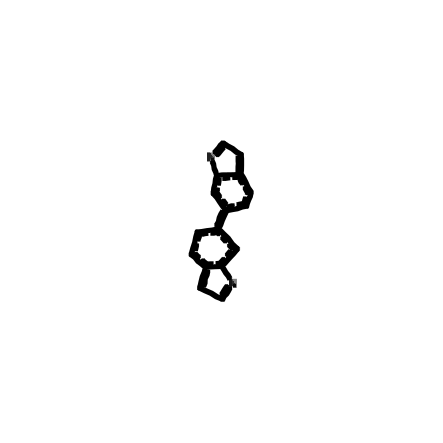 C1=Nc2cc(=c3ccc4c(c3)N=CC=4)ccc2=C1